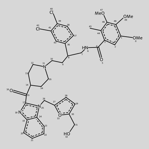 COc1cc(C(=O)NCC(CCN2CCC(C(=O)c3nc4ccccc4n3Cc3ccc(CO)o3)CC2)c2ccc(Cl)c(Cl)c2)c(C)c(OC)c1OC